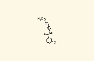 CO/C=C/C12CC(NC(=O)c3cccc(Cl)c3)(C1)C2